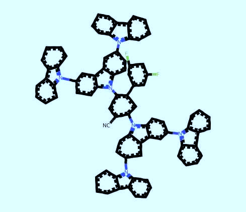 N#Cc1cc(-n2c3ccc(-n4c5ccccc5c5ccccc54)cc3c3cc(-n4c5ccccc5c5ccccc54)ccc32)c(-c2cc(F)cc(F)c2)cc1-n1c2ccc(-n3c4ccccc4c4ccccc43)cc2c2cc(-n3c4ccccc4c4ccccc43)ccc21